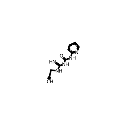 C#CCNC(=N)NC(=O)Nc1ccccn1